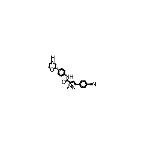 Cn1nc(-c2ccc(C#N)cc2)cc1C(=O)Nc1ccc([C@H]2CNCCO2)cc1